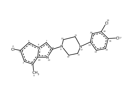 Cc1cc(Cl)cn2cc(N3CCN(c4ccc(Cl)c(Cl)c4)CC3)nc12